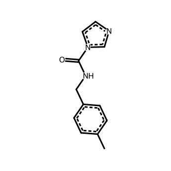 Cc1ccc(CNC(=O)n2ccnc2)cc1